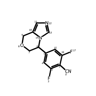 N#Cc1c(F)cc(C2COCc3cncn32)cc1F